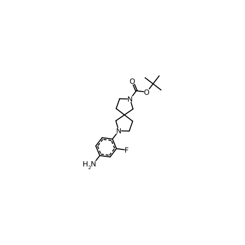 CC(C)(C)OC(=O)N1CCC2(CCN(c3ccc(N)cc3F)C2)C1